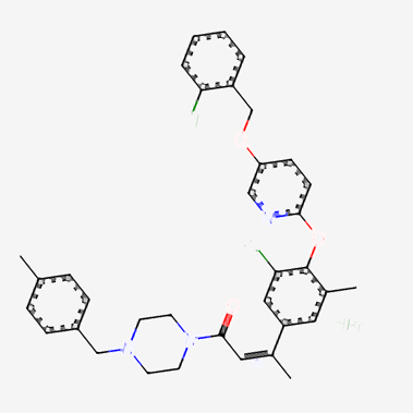 Br.C/C(=C/C(=O)N1CCN(Cc2ccc(C)cc2)CC1)c1cc(C)c(Oc2ccc(OCc3ccccc3Cl)cn2)c(Cl)c1